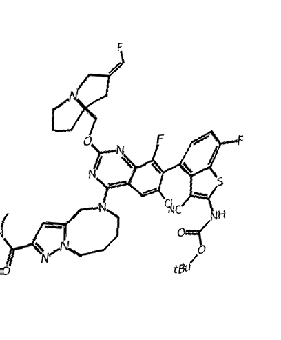 CN(C)C(=O)c1cc2n(n1)CCCCN(c1nc(OCC34CCCN3C/C(=C\F)C4)nc3c(F)c(-c4ccc(F)c5sc(NC(=O)OC(C)(C)C)c(C#N)c45)c(Cl)cc13)C2